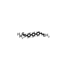 CC/C=C/C1CCC(C2CCC(C3CCC([SiH2]CCC)CC3)CC2)CC1